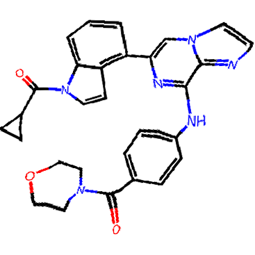 O=C(c1ccc(Nc2nc(-c3cccc4c3ccn4C(=O)C3CC3)cn3ccnc23)cc1)N1CCOCC1